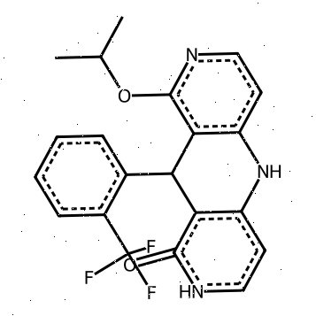 CC(C)Oc1nccc2c1C(c1ccccc1C(F)(F)F)c1c(cc[nH]c1=O)N2